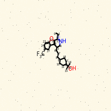 C/C=C1/NCC(CCCC2CCC(C(C)(C)O)CC2)C2=C1OC1=CCC(C(F)(F)F)CC12